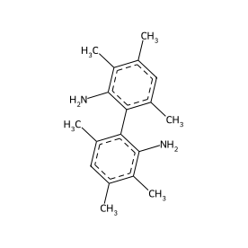 Cc1cc(C)c(-c2c(C)cc(C)c(C)c2N)c(N)c1C